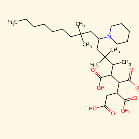 CCCCCCCC(C)(C)CC(CC(C)(C)C(C)C(C(=O)O)C(C(=O)O)C(CC(=O)O)C(=O)O)N1CCCCC1